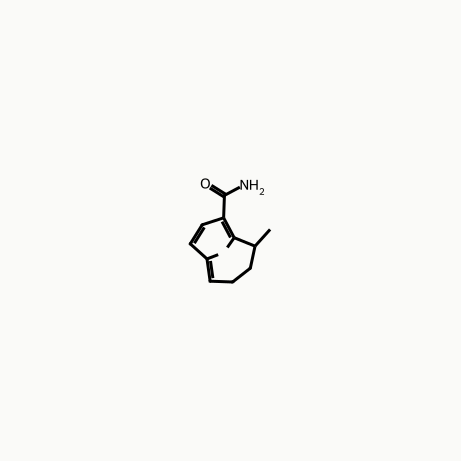 C\C1=C(C(N)=O)/C=C\C(C)=C\CCC1C